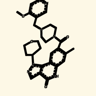 COc1ccncc1CN1CCN(C(=O)c2cc3c(cc2C)[nH]c(=O)c2cnn(C4CCOCC4)c23)CC1